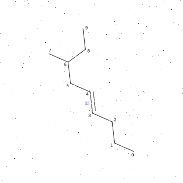 CCC/C=C/CC(C)CC